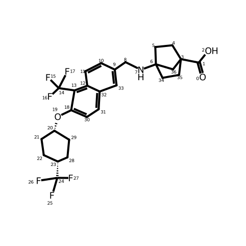 O=C(O)C12CCC(NCc3ccc4c(C(F)(F)F)c(O[C@H]5CC[C@@H](C(F)(F)F)CC5)ccc4c3)(CC1)C2